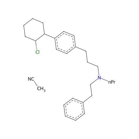 CC#N.CCCN(CCCc1ccc(C2CCCCC2Cl)cc1)CCc1ccccc1